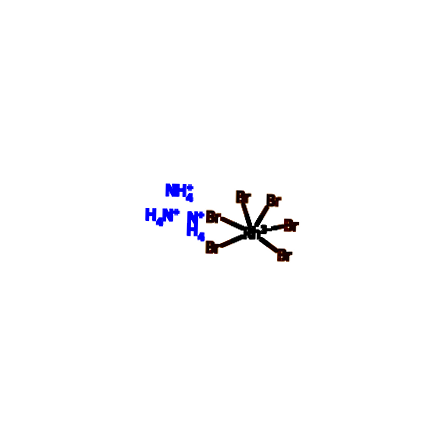 [Br][Rh-3]([Br])([Br])([Br])([Br])[Br].[NH4+].[NH4+].[NH4+]